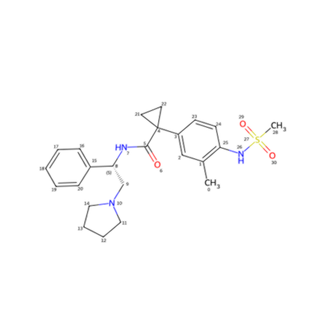 Cc1cc(C2(C(=O)N[C@H](CN3CCCC3)c3ccccc3)CC2)ccc1NS(C)(=O)=O